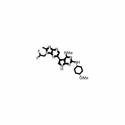 CNc1nc(N[C@H]2CC[C@@H](OC)CC2)nc2[nH]cc(-c3cnc4nc(C)n(CC(F)F)c4n3)c12